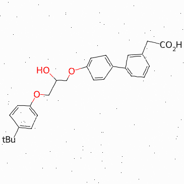 CC(C)(C)c1ccc(OCC(O)COc2ccc(-c3cccc(CC(=O)O)c3)cc2)cc1